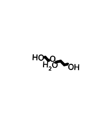 O.OCCCCOCCO